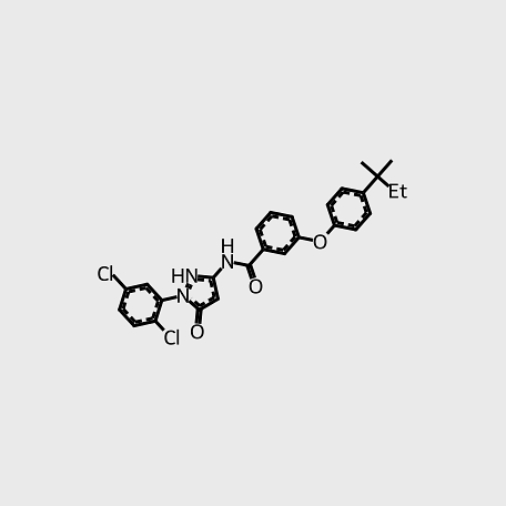 CCC(C)(C)c1ccc(Oc2cccc(C(=O)Nc3cc(=O)n(-c4cc(Cl)ccc4Cl)[nH]3)c2)cc1